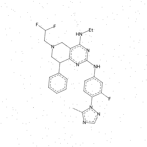 CCNc1nc(Nc2ccc(-n3ncnc3C)c(F)c2)nc2c1CN(CC(F)F)CC2c1ccccc1